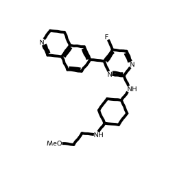 COCCNC1CCC(Nc2ncc(F)c(-c3ccc4c(c3)CCN=C4)n2)CC1